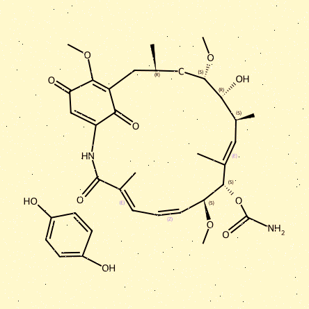 COC1=C2C[C@@H](C)C[C@H](OC)[C@H](O)[C@@H](C)/C=C(\C)[C@H](OC(N)=O)[C@@H](OC)/C=C\C=C(/C)C(=O)NC(=CC1=O)C2=O.Oc1ccc(O)cc1